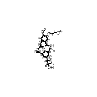 COCCOc1cc2c(N[C@H](C)c3cc(C#N)cc(C(F)(F)C(C)(C)O)c3)nc(C)nc2cc1OC